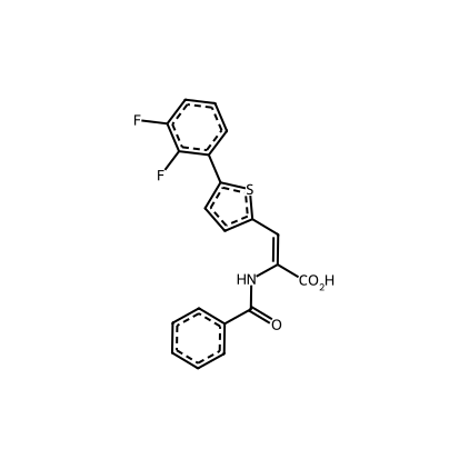 O=C(O)C(=Cc1ccc(-c2cccc(F)c2F)s1)NC(=O)c1ccccc1